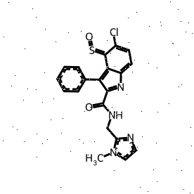 Cn1ccnc1CNC(=O)C1=NC2=CC=C(Cl)C(=S=O)C2=C1c1ccccc1